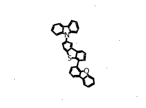 c1ccc2c(c1)oc1c(-c3cccc4c3sc3ccc(-n5c6ccccc6c6ccccc65)cc34)cccc12